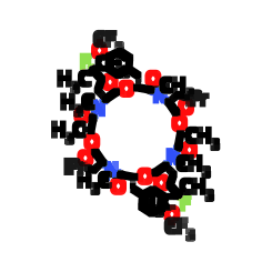 CC(C)C[C@H]1C(=O)O[C@H](C)C(=O)N(C)[C@@H](CCC(C)(C)F)C(=O)O[C@H](Cc2ccc(OC(F)(F)F)cc2)C(=O)N(C)[C@@H](CC(C)C)C(=O)O[C@H](C)C(=O)N(C)[C@@H](CCC(C)(C)F)C(=O)O[C@H](Cc2ccc(OC(F)(F)F)cc2)C(=O)N1C